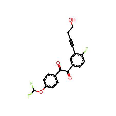 O=C(C(=O)c1ccc(F)c(C#CCCO)c1)c1ccc(OC(F)F)cc1